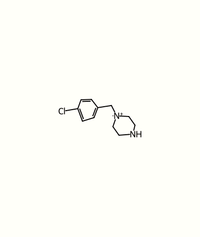 Clc1ccc(C[N+]2CCNCC2)cc1